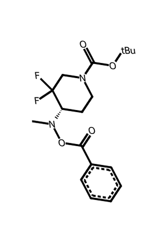 CN(OC(=O)c1ccccc1)[C@H]1CCN(C(=O)OC(C)(C)C)CC1(F)F